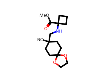 COC(=O)C1(NCC2(C#N)CCC3(CC2)OCCO3)CCC1